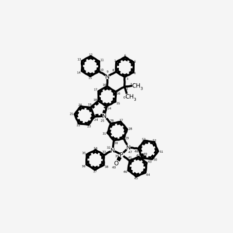 CC1(C)c2ccccc2N(c2ccccc2)c2cc3c4ccccc4n(-c4ccc5c(c4)N(c4ccccc4)P(=O)(c4ccccc4)N5c4ccccc4)c3cc21